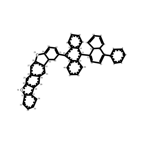 C1=CC2C(c3ccccc3)=CC=C(c3c4ccccc4c(C4=CC=C5Oc6cc7cc8oc9ccccc9c8cc7cc6C5C4)c4ccccc34)C2C=C1